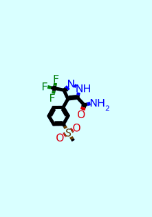 CS(=O)(=O)c1cccc(-c2c(C(F)(F)F)n[nH]c2C(N)=O)c1